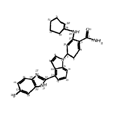 NC(=O)C1=CCC(n2ccc3c(-c4nc5ccc(F)cc5[nH]4)cccc32)C=C1NC1CCCCC1